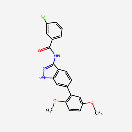 COc1ccc(OC)c(-c2ccc3c(NC(=O)c4cccc(Cl)c4)n[nH]c3c2)c1